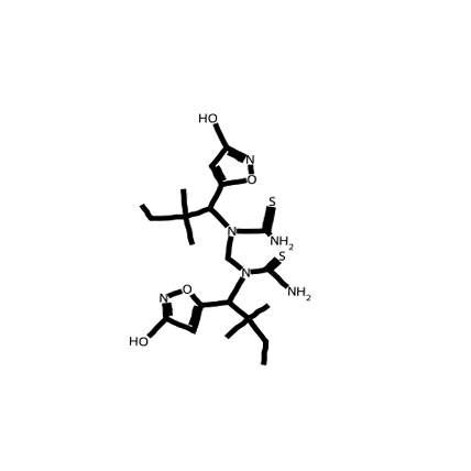 CCC(C)(C)C(c1cc(O)no1)N(CN(C(N)=S)C(c1cc(O)no1)C(C)(C)CC)C(N)=S